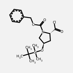 CC(C)(C)[Si](C)(C)O[C@@H]1C[C@@H](C(=O)Cl)N(C(=O)OCc2ccccc2)C1